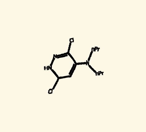 CCCN(CCC)C1=CC(Cl)NN=C1Cl